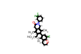 Cc1c(-c2c(C)c3c(c(C)c2CC(=O)O)CC(=O)N(C2CCCC(F)(F)C2)C3)cc(F)c2c1CCCO2